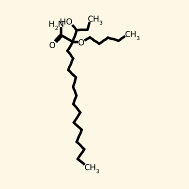 CCCCCCCCCCCCCCC(OCCCCC)(C(N)=O)C(O)CC